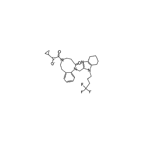 O=C1CCN(C(=O)[S+]([O-])C2CC2)CCc2ccccc2N1Cc1nc2c(n1CCCC(F)(F)F)CCCC2